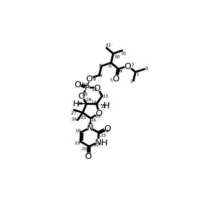 CC(C)OC(=O)C(CCO[P@]1(=O)OC[C@H]2O[C@@H](n3ccc(=O)[nH]c3=O)C(C)(C)[C@@H]2O1)C(C)C